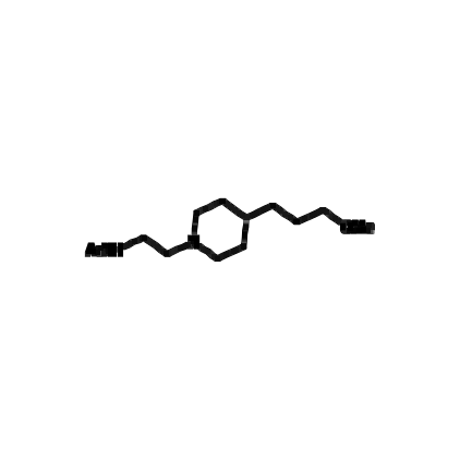 COCCCC1CCN(CCNC(C)=O)CC1